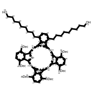 CCCCCCCCCCc1ccc(CCCCCCCCCC)c2c1-c1nc-2nc2[nH]c(nc3nc(nc4[nH]c(n1)c1c(CCCCCCCCCC)ccc(CCCCCCCCCC)c41)-c1c(CCCCCCCCCC)ccc(CCCCCCCCCC)c1-3)c1c(CCCCCCCCCO)ccc(CCCCCCCCCO)c21